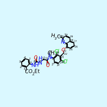 CCOC(=O)c1ccccc1NC(=O)NCC(=O)N(C)c1ccc(Cl)c(COc2cccc3ccc(C)nc23)c1Cl